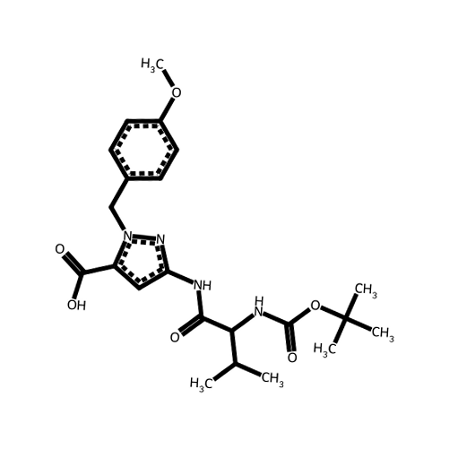 COc1ccc(Cn2nc(NC(=O)C(NC(=O)OC(C)(C)C)C(C)C)cc2C(=O)O)cc1